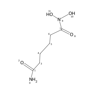 NC(=O)CCCCC(=O)N(O)O